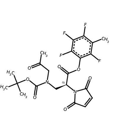 CC(=O)CN(C[C@@H](C(=O)Oc1c(F)c(C)c(F)c(F)c1F)N1C(=O)C=CC1=O)C(=O)OC(C)(C)C